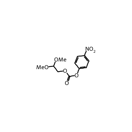 COC(COC(=O)Oc1ccc([N+](=O)[O-])cc1)OC